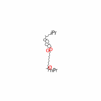 CCCc1oc(CCCCCCCCCCC(=O)OC2CCC3(C)C(=CCC4C3CCC3(C)C(C(C)CCCC(C)C)CCC43)C2)c(C)c1C